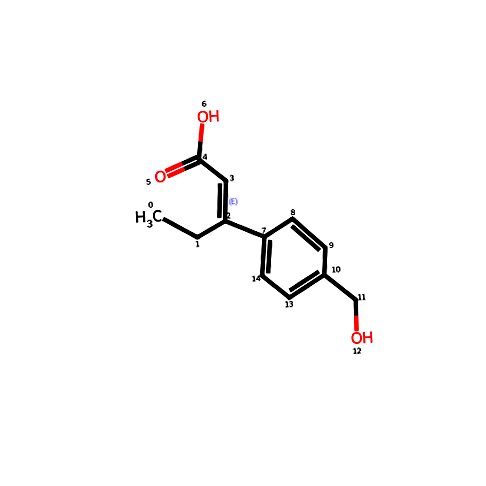 CC/C(=C\C(=O)O)c1ccc(CO)cc1